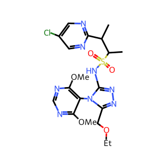 CCOCc1nnc(NS(=O)(=O)C(C)C(C)c2ncc(Cl)cn2)n1-c1c(OC)ncnc1OC